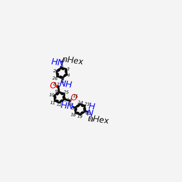 CCCCCCNc1ccc(NC(=O)c2cccc(C(=O)Nc3ccc(NCCCCCC)cc3)c2)cc1